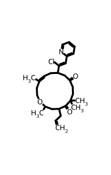 C=CCC1CC(C)OCCC(C)=CCC(C(Cl)=Cc2ccccn2)CC(=O)CCC(C)(C)C1=O